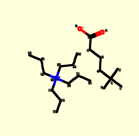 CC(C)(C)CCCC(=O)[O-].CCC[N+](CCC)(CCC)CCC